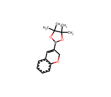 CC1(C)OB(C2=Cc3ccccc3OC2)OC1(C)C